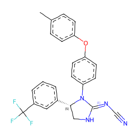 Cc1ccc(Oc2ccc(N3/C(=N/C#N)NC[C@@H]3c3cccc(C(F)(F)F)c3)cc2)cc1